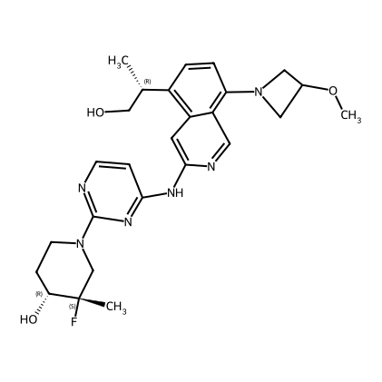 COC1CN(c2ccc([C@@H](C)CO)c3cc(Nc4ccnc(N5CC[C@@H](O)[C@@](C)(F)C5)n4)ncc23)C1